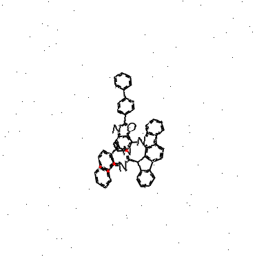 C=C(/N=C(\N=C(/C)c1ccccc1)C1c2ccccc2-c2ccc3c4ccccc4n(-c4cccc5nc(-c6ccc(-c7ccccc7)cc6)oc45)c3c21)c1ccccc1